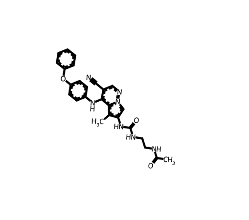 CC(=O)NCCNC(=O)Nc1cn2ncc(C#N)c(Nc3ccc(Oc4ccccc4)cc3)c2c1C